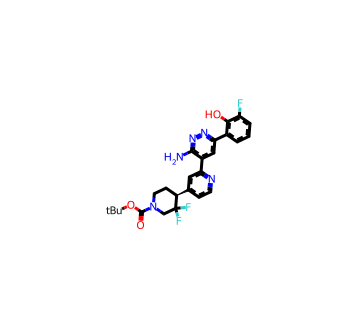 CC(C)(C)OC(=O)N1CC[C@@H](c2ccnc(-c3cc(-c4cccc(F)c4O)nnc3N)c2)C(F)(F)C1